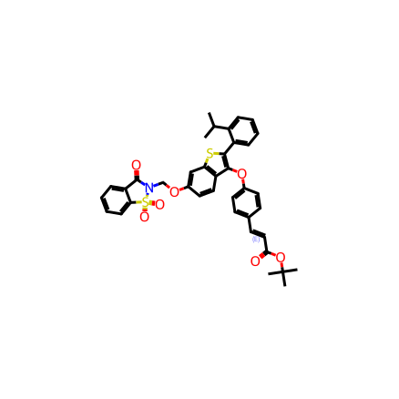 CC(C)c1ccccc1-c1sc2cc(OCN3C(=O)c4ccccc4S3(=O)=O)ccc2c1Oc1ccc(/C=C/C(=O)OC(C)(C)C)cc1